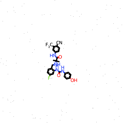 CC(C)(NCc1ccc(F)cc1NC(=O)Nc1ccc(O)cc1)C(=O)Nc1ccc(C#N)c(C(F)(F)F)c1